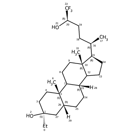 CC[C@]1(O)CC[C@]2(C)C3CC[C@@]4(C)C(CC[C@@H]4[C@H](C)CC[C@@H](O)C(F)(F)F)[C@@H]3CC[C@@H]2C1